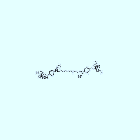 CCOP(=O)(CCc1ccc(N(C=O)CCCCCCCCCCN(C=O)c2ccc(CCP(=O)(O)O)cc2)cc1)OCC